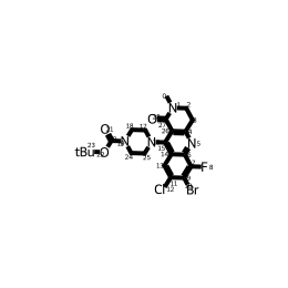 CN1CCc2nc3c(F)c(Br)c(Cl)cc3c(N3CCN(C(=O)OC(C)(C)C)CC3)c2C1=O